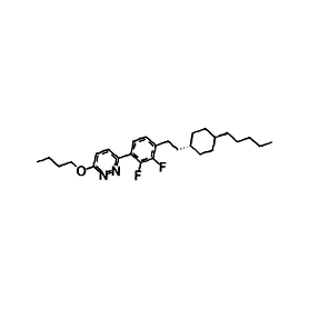 CCCCC[C@H]1CC[C@H](CCc2ccc(-c3ccc(OCCCC)nn3)c(F)c2F)CC1